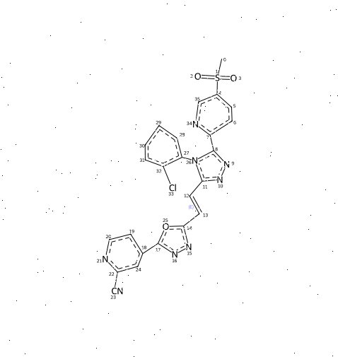 CS(=O)(=O)c1ccc(-c2nnc(/C=C/c3nnc(-c4ccnc(C#N)c4)o3)n2-c2ccccc2Cl)nc1